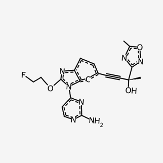 Cc1nc([C@](C)(O)C#Cc2ccc3nc(OCCF)n(-c4ccnc(N)n4)c3c2)no1